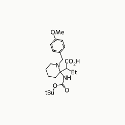 CCC(C(=O)O)C1(NC(=O)OC(C)(C)C)CCCCN1Cc1ccc(OC)cc1